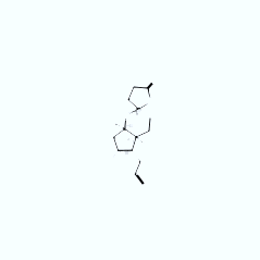 C=CC[C@@H]1[C@H]2CC[C@@]3(CCC(=O)O3)O[C@H]2C[C@@H]1O